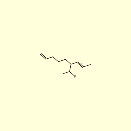 C=CCCC[C](/C=C/C)C(F)F